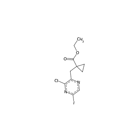 CCOC(=O)C1(Cc2ncc(I)nc2Cl)CC1